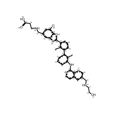 Cc1c(Nc2nccc3cc(CNCCO)cnc23)cccc1-c1cccc(-c2nc3cc(CNCCC(=O)O)cc(Cl)c3o2)c1C